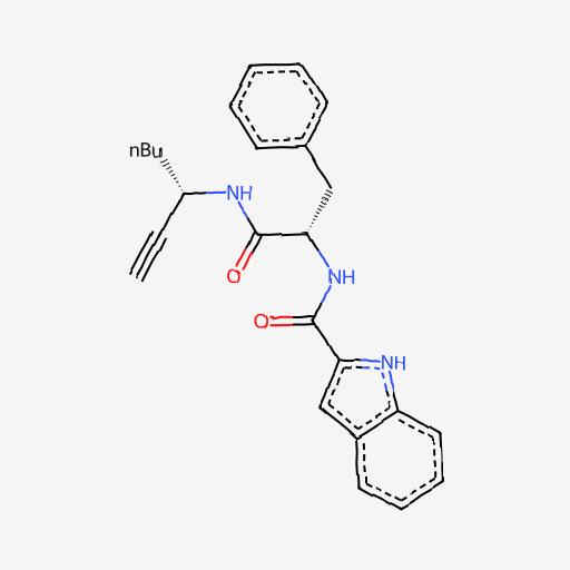 C#C[C@H](CCCC)NC(=O)[C@H](Cc1ccccc1)NC(=O)c1cc2ccccc2[nH]1